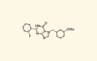 COc1cccc(Cn2cnc3nc(-c4ccccc4F)[nH]c(=O)c32)c1